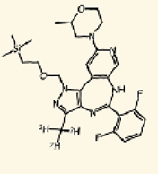 [2H]C([2H])([2H])c1nn(COCC[Si](C)(C)C)c2c1N=C(c1c(F)cccc1F)Nc1cnc(N3CCO[C@H](C)C3)cc1-2